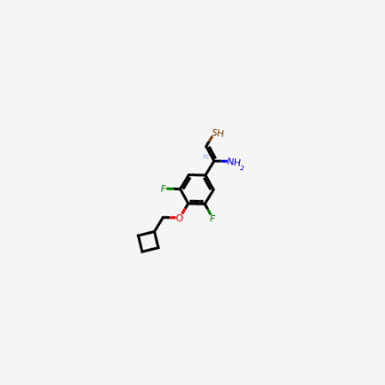 N/C(=C\S)c1cc(F)c(OCC2CCC2)c(F)c1